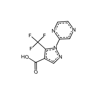 O=C(O)c1cnn(-c2cnccn2)c1C(F)(F)F